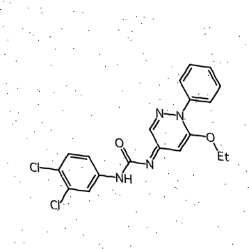 CCOc1cc(=NC(=O)Nc2ccc(Cl)c(Cl)c2)cnn1-c1ccccc1